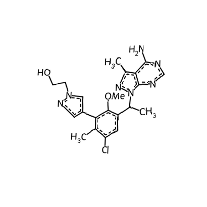 COc1c(C(C)n2nc(C)c3c(N)ncnc32)cc(Cl)c(C)c1-c1cnn(CCO)c1